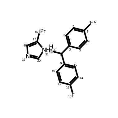 BC(c1ccc(F)cc1)c1ccc(F)cc1.CC(C)c1cnc[nH]1